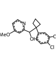 COc1ccnc(C(O)C2(c3ccc(Cl)c(Cl)c3)CCC2)c1